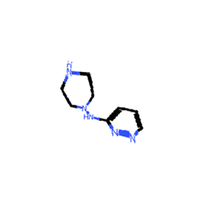 c1cnnc(NN2CCNCC2)c1